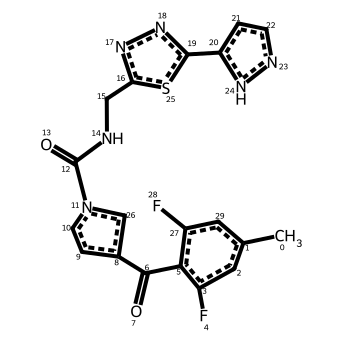 Cc1cc(F)c(C(=O)c2ccn(C(=O)NCc3nnc(-c4ccn[nH]4)s3)c2)c(F)c1